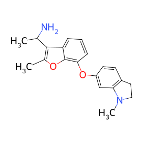 Cc1oc2c(Oc3ccc4c(c3)N(C)CC4)cccc2c1C(C)N